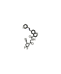 N#CC1CC(F)(F)CN1C(=O)CNC(=O)c1ccnc2ccc(/C=C/c3cccnc3)cc12